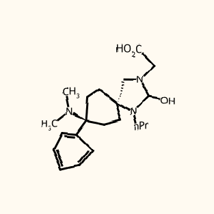 CCCN1C(O)N(CC(=O)O)C[C@]12CC[C@](c1ccccc1)(N(C)C)CC2